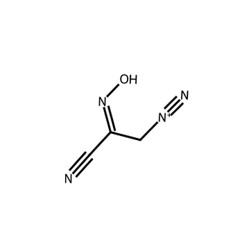 N#CC(C[N+]#N)=NO